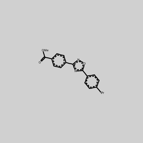 COC(=O)c1ccc(-c2noc(-c3ccc(C(C)C)cc3)n2)cc1